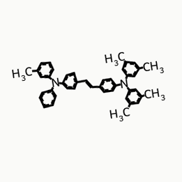 Cc1cccc(N(c2ccccc2)c2ccc(/C=C/c3ccc(N(c4cc(C)cc(C)c4)c4cc(C)cc(C)c4)cc3)cc2)c1